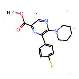 COC(=O)c1cnc(N2CCCCC2)c(-c2ccc(F)cc2)n1